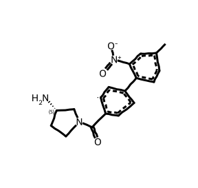 Cc1ccc(-c2c[c]c(C(=O)N3CC[C@H](N)C3)cc2)c([N+](=O)[O-])c1